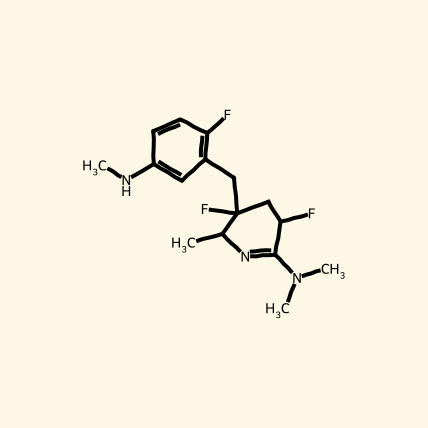 CNc1ccc(F)c(CC2(F)CC(F)C(N(C)C)=NC2C)c1